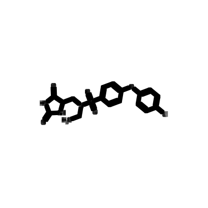 CCN(CC1NC(=O)NC1=O)S(=O)(=O)c1ccc(Oc2ccc(Cl)cc2)cc1